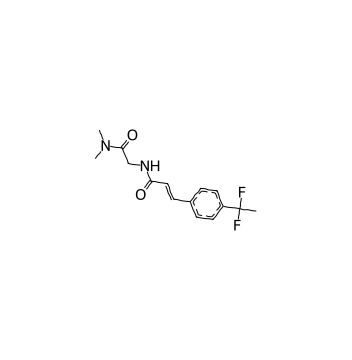 CN(C)C(=O)CNC(=O)/C=C/c1ccc(C(C)(F)F)cc1